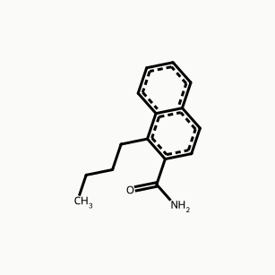 CCCCc1c(C(N)=O)ccc2ccccc12